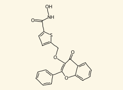 O=C(NO)c1ccc(COc2c(-c3ccccc3)oc3ccccc3c2=O)s1